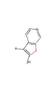 CC(C)c1oc2cnccc2c1C(C)C